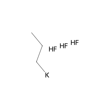 CC[CH2][K].F.F.F